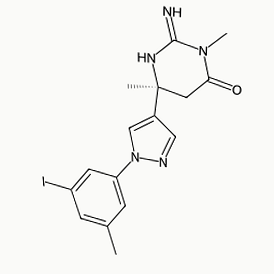 Cc1cc(I)cc(-n2cc([C@]3(C)CC(=O)N(C)C(=N)N3)cn2)c1